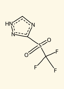 O=S(=O)(c1nc[nH]n1)C(F)(F)F